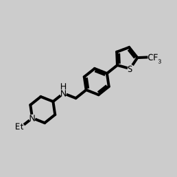 CCN1CCC(NCc2ccc(-c3ccc(C(F)(F)F)s3)cc2)CC1